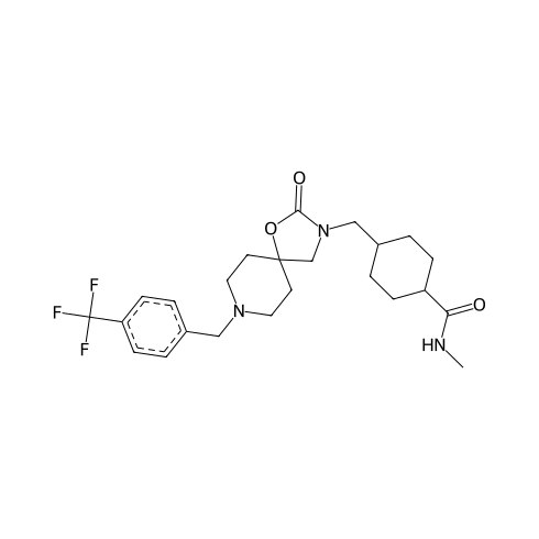 CNC(=O)C1CCC(CN2CC3(CCN(Cc4ccc(C(F)(F)F)cc4)CC3)OC2=O)CC1